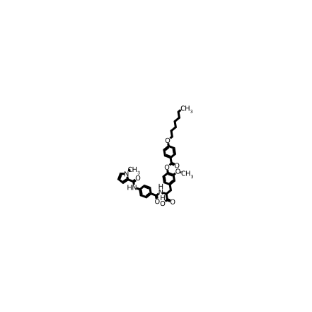 CCCCCCCOc1ccc(C(=O)Oc2ccc(CC(NC(=O)c3ccc(NC(=O)c4cccn4C)cc3)C(=O)O)cc2OC)cc1